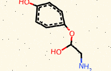 NCC(O)Oc1ccc(O)cc1